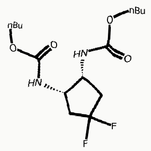 CCCCOC(=O)N[C@H]1CC(F)(F)C[C@H]1NC(=O)OCCCC